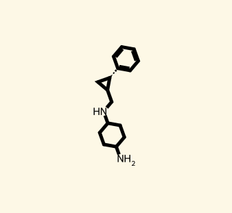 NC1CCC(NCC2C[C@@H]2c2ccccc2)CC1